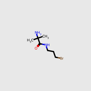 CC(C)(N)C(=O)NCCCBr